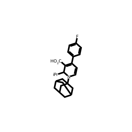 CC(C)C1C(C(=O)O)=C(c2ccc(F)cc2)C=CN1C12CC3CC(CC(C3)C1)C2